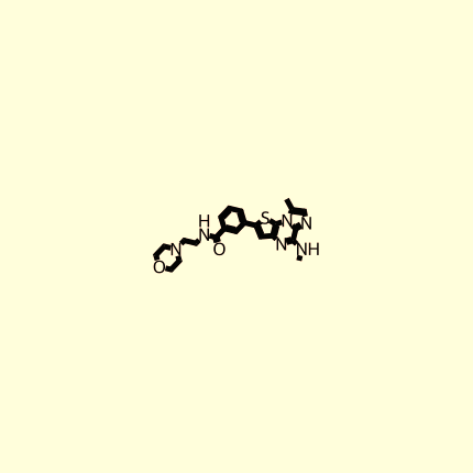 CNc1nc2cc(-c3cccc(C(=O)NCCN4CCOCC4)c3)sc2n2c(C)cnc12